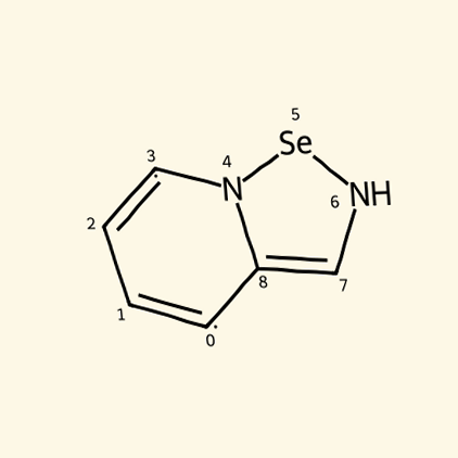 [C]1=CC=[C]N2[Se]NC=C12